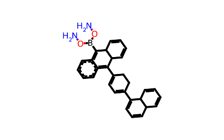 NOB(ON)C1=c2ccccc2=C(C2=CC=C(C3=CC=CC4C=CC=CC34)CC2)C2C=CC=CC12